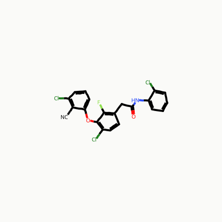 N#Cc1c(Cl)cccc1Oc1c(Cl)ccc(CC(=O)Nc2ccccc2Cl)c1F